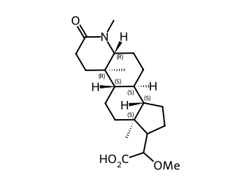 COC(C(=O)O)C1CC[C@H]2[C@@H]3CC[C@H]4N(C)C(=O)CC[C@]4(C)[C@H]3CC[C@]12C